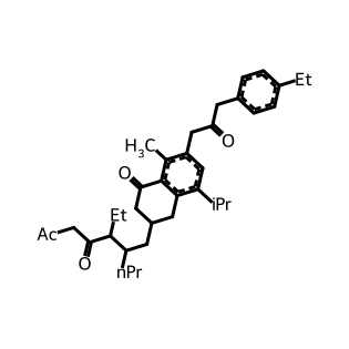 CCCC(CC1CC(=O)c2c(C)c(CC(=O)Cc3ccc(CC)cc3)cc(C(C)C)c2C1)C(CC)C(=O)CC(C)=O